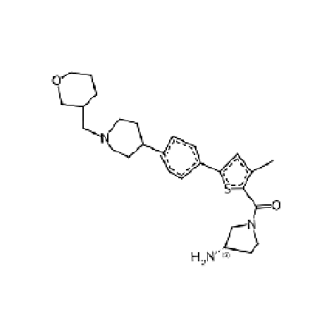 Cc1cc(-c2ccc(C3CCN(CC4CCCOC4)CC3)cc2)sc1C(=O)N1CC[C@H](N)C1